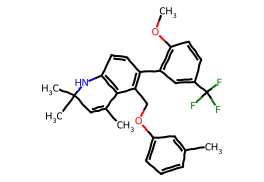 COc1ccc(C(F)(F)F)cc1-c1ccc2c(c1COc1cccc(C)c1)C(C)=CC(C)(C)N2